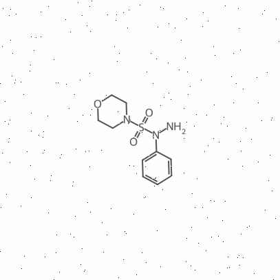 NN(c1ccccc1)S(=O)(=O)N1CCOCC1